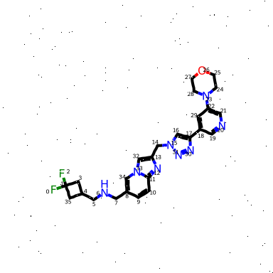 FC1(F)CC(CNCc2ccc3nc(Cn4cc(-c5cncc(N6CCOCC6)c5)nn4)cn3c2)C1